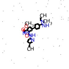 C#CCN(C)C(=N)c1ccc(-c2cc(OC)c(C(N)=O)c(C(=O)Nc3ccc(C#C)cn3)c2)cc1